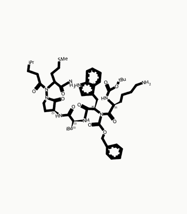 CC[C@H](C)[C@H](NC(=O)[C@@H](Cc1c[nH]c2ccccc12)N(C(=O)OCc1ccccc1)C(=O)[C@H](CCCCN)NC(=O)OC(C)(C)C)C(=O)N[C@H]1CCN(N(C(=O)CCC(C)C)C(CCSC)C(N)=O)C1=O